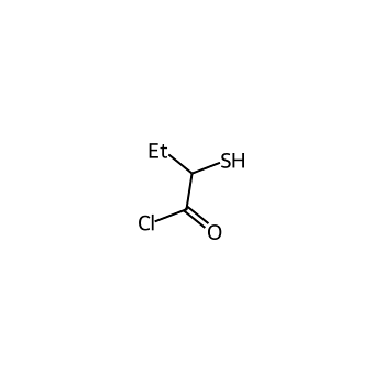 CCC(S)C(=O)Cl